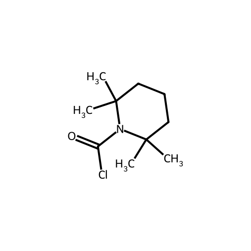 CC1(C)CCCC(C)(C)N1C(=O)Cl